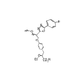 CCCON=C(COc1ccc(CC(OCC)C(=O)O)cc1)c1nnc(-c2ccc(F)cc2)o1